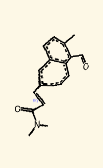 Cc1ccc2cc(/C=C/C(=O)N(C)C)ccc2c1C=O